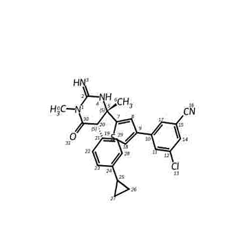 CN1C(=N)N[C@](C)(c2cc(-c3cc(Cl)cc(C#N)c3)cs2)[C@H](c2ccc(C3CC3)cc2)C1=O